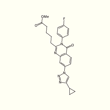 COC(=O)CCCCc1nc2cc(-n3cc(C4CC4)nn3)ccc2c(=O)n1-c1ccc(F)cc1